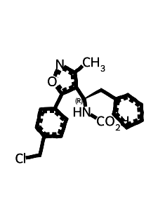 Cc1noc(-c2ccc(CCl)cc2)c1[C@@H](Cc1ccccc1)NC(=O)O